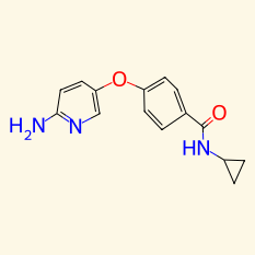 Nc1ccc(Oc2ccc(C(=O)NC3CC3)cc2)cn1